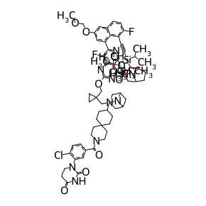 COCOc1cc(-c2ncc3c(N4CC5CCC(C4)N5C(=O)OC(C)(C)C)nc(OCC4(CN5CC6CC(C5)N6CC5CCC6(CC5)CCN(C(=O)c5ccc(Cl)c(N7CCC(=O)NC7=O)c5)CC6)CC4)nc3c2F)c2c(C#C[Si](C(C)C)(C(C)C)C(C)C)c(F)ccc2c1